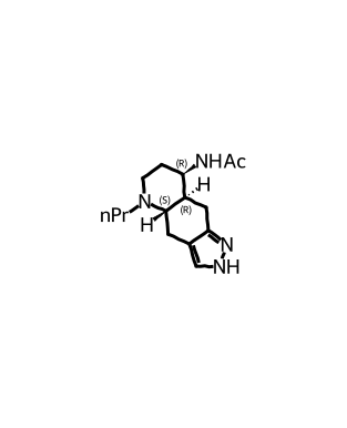 CCCN1CC[C@@H](NC(C)=O)[C@H]2Cc3n[nH]cc3C[C@@H]21